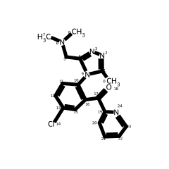 Cc1nnc(CN(C)C)n1-c1ccc(Cl)cc1C(=O)c1ccccn1